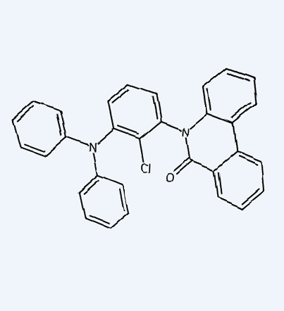 O=c1c2ccccc2c2ccccc2n1-c1cccc(N(c2ccccc2)c2ccccc2)c1Cl